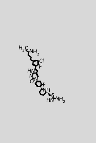 C=C[C@H](N)CCCc1cc(Cl)c(F)c(-c2cc3cn(-c4ccc([C@@H]5CCC[C@@H](CCSC(=N)N)N5)c(F)c4)c(=O)nc3[nH]2)c1